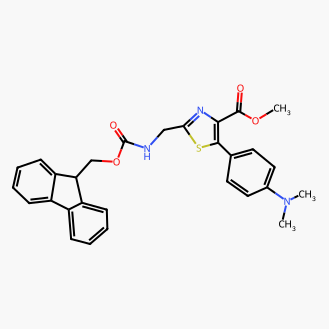 COC(=O)c1nc(CNC(=O)OCC2c3ccccc3-c3ccccc32)sc1-c1ccc(N(C)C)cc1